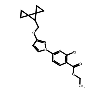 CCOC(=O)c1ccc(-n2ccc(OCC3C4(CC4)C34CC4)n2)nc1Cl